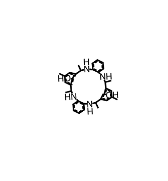 Cc1cc2c(O)c(c1)C(C)Nc1ccccc1NC(C)c1cc(C)cc(c1O)C(C)Nc1ccccc1NC2C